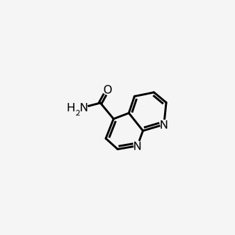 NC(=O)c1ccnc2ncccc12